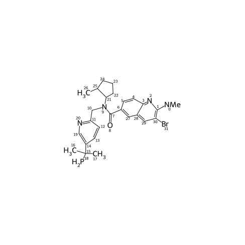 CNc1nc2ccc(C(=O)N(Cc3ccc(C(C)(C)P)cn3)C3CCCC3C)cc2cc1Br